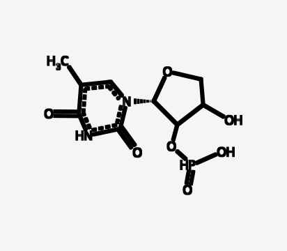 Cc1cn([C@@H]2OCC(O)C2O[PH](=O)O)c(=O)[nH]c1=O